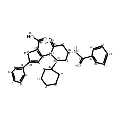 O=C(N[C@H]1CC(=O)N(c2cc(-c3ccccc3)sc2C(=O)O)[C@H](C2CCCCC2)C1)c1ccccc1